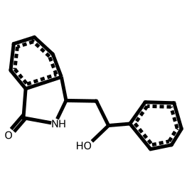 O=C1NC(CC(O)c2ccccc2)c2ccccc21